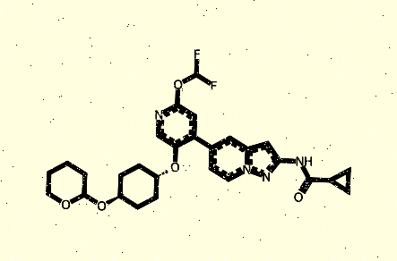 O=C(Nc1cc2cc(-c3cc(OC(F)F)ncc3O[C@H]3CC[C@H](OC4CCCCO4)CC3)ccn2n1)C1CC1